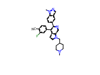 CN1CCC(Cn2ccc3c(-c4ccc(C#N)c(F)c4)c(-c4ccc5c(cnn5C)c4)ncc32)CC1